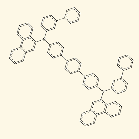 c1ccc(-c2cccc(N(c3ccc(-c4ccc(-c5ccc(N(c6cccc(-c7ccccc7)c6)c6cc7ccccc7c7ccccc67)cc5)cc4)cc3)c3cc4ccccc4c4ccccc34)c2)cc1